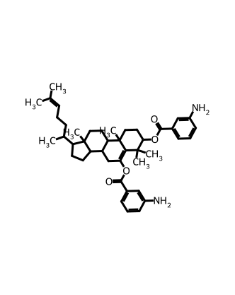 CC(C)=CCCC(C)C1CCC2C3CC(OC(=O)c4cccc(N)c4)=C4C(C)(C)C(OC(=O)c5cccc(N)c5)CCC4(C)C3CCC12C